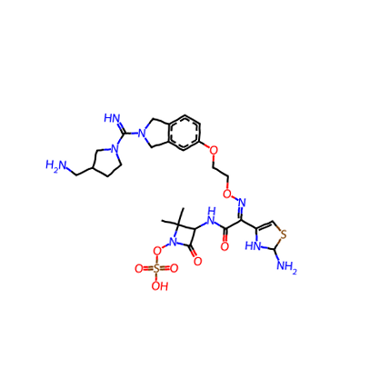 CC1(C)C(NC(=O)/C(=N\OCCOc2ccc3c(c2)CN(C(=N)N2CCC(CN)C2)C3)C2=CSC(N)N2)C(=O)N1OS(=O)(=O)O